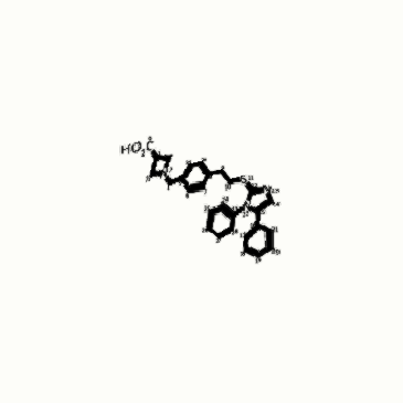 O=C(O)C1CN(Cc2ccc(CCSc3ncc(-c4ccccc4)n3-c3ccccc3)cc2)C1